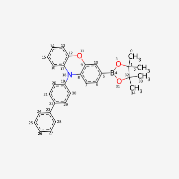 CC1(C)OB(c2ccc3c(c2)Oc2ccccc2N3c2ccc(-c3ccccc3)cc2)OC1(C)C